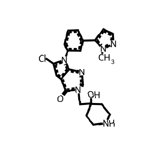 Cn1nccc1-c1cccc(-n2c(Cl)cc3c(=O)n(CC4(O)CCNCC4)cnc32)c1